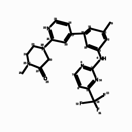 Cc1cc(Nc2nccc(C(F)(F)F)n2)cc(-c2ccnc(N3CCN(C)C(=O)C3)c2)c1